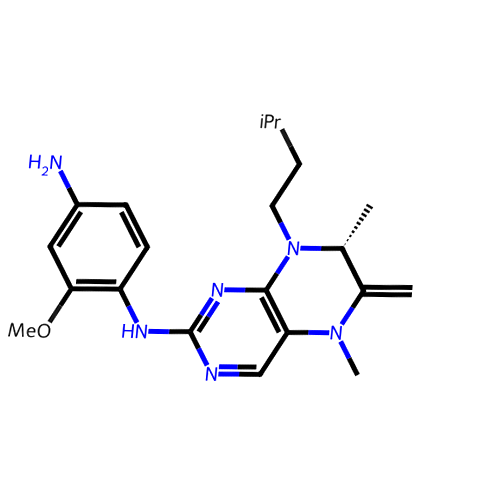 C=C1[C@@H](C)N(CCC(C)C)c2nc(Nc3ccc(N)cc3OC)ncc2N1C